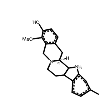 COc1c(O)ccc2c1CN1CCC3c4ccc(C)cc4NC3[C@@H]1C2